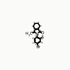 C=C1C2=C(CCCC2)C(=O)N1c1ccc(Br)cc1F